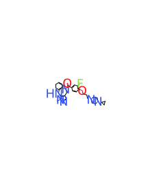 Cn1ncc2c1NC1=C(C=CCC1)N(C(=O)c1ccc(OCCCN3CCN(C4CC4)CC3)c(F)c1)C2